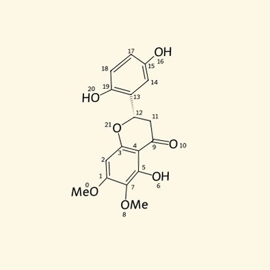 COc1cc2c(c(O)c1OC)C(=O)C[C@@H](c1cc(O)ccc1O)O2